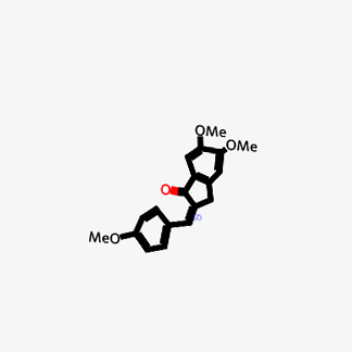 COc1ccc(/C=C2/Cc3cc(OC)c(OC)cc3C2=O)cc1